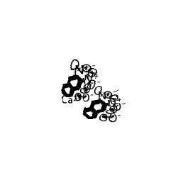 O=[N+]([O-])c1cc2ccccc2c(S(=O)(=O)[O-])c1[N+](=O)[O-].O=[N+]([O-])c1cc2ccccc2c(S(=O)(=O)[O-])c1[N+](=O)[O-].[Ca+2]